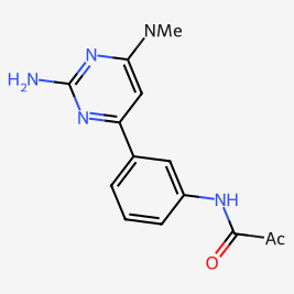 CNc1cc(-c2cccc(NC(=O)C(C)=O)c2)nc(N)n1